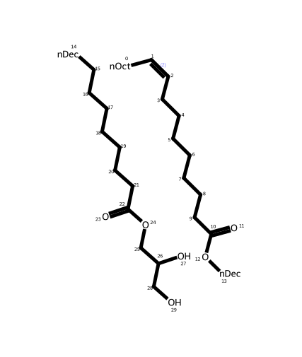 CCCCCCCC/C=C\CCCCCCCC(=O)OCCCCCCCCCC.CCCCCCCCCCCCCCCCCC(=O)OCC(O)CO